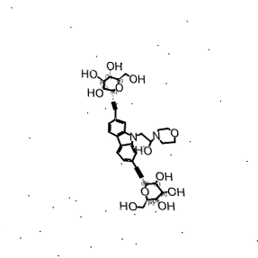 OC[C@H]1O[C@H](C#Cc2ccc3c4ccc(C#C[C@H]5O[C@H](CO)[C@@H](O)[C@H](O)[C@@H]5O)cc4n(CC(O)N4CCOCC4)c3c2)[C@@H](O)[C@@H](O)[C@@H]1O